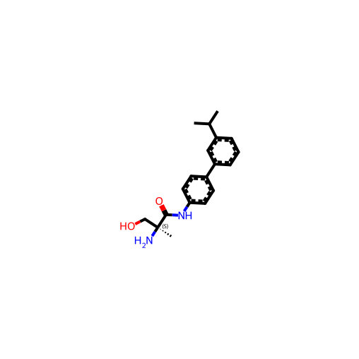 CC(C)c1cccc(-c2ccc(NC(=O)[C@@](C)(N)CO)cc2)c1